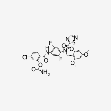 COc1ccc(CN(c2cc(F)c(NC(=O)c3ccc(Cl)cc3OC(N)=O)cc2F)S(=O)(=O)c2ncns2)c(OC)c1